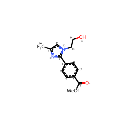 COC(=O)c1ccc(-c2nc(C(F)(F)F)cn2CCO)cc1